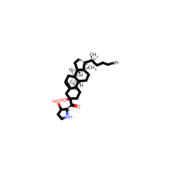 CC(C)CCC[C@@H](C)[C@H]1CC[C@H]2[C@@H]3CC=C4CC(O)(C(=O)[C@H]5NCCC5O)CC[C@]4(C)[C@H]3CC[C@]12C